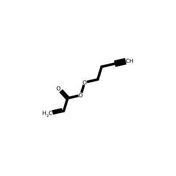 C#CCCOOC(=O)C=C